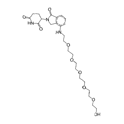 O=C1CCC(N2Cc3c(NCCOCCOCCOCCOCCOCCO)cccc3C2=O)C(=O)N1